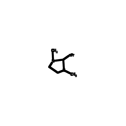 CCCC1N(C)CCN1C